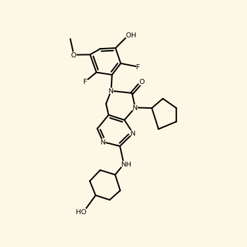 COc1cc(O)c(F)c(N2Cc3cnc(NC4CCC(O)CC4)nc3N(C3CCCC3)C2=O)c1F